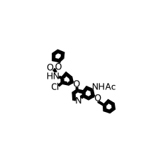 CC(=O)Nc1cc2c(Oc3ccc(NC(=O)Oc4ccccc4)c(Cl)c3)ccnc2cc1OCc1ccccc1